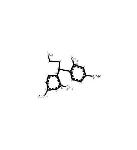 CCC(C)CCC(c1ccc(OC)cc1C)c1ccc(OC(C)=O)cc1C